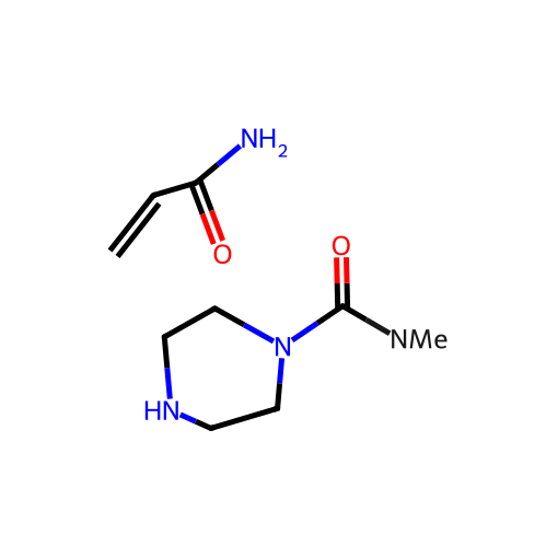 C=CC(N)=O.CNC(=O)N1CCNCC1